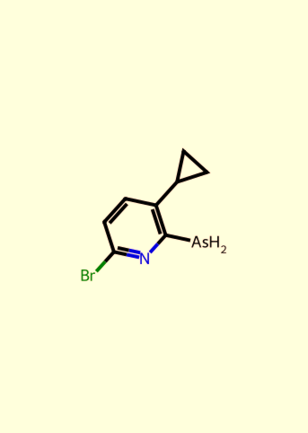 [AsH2]c1nc(Br)ccc1C1CC1